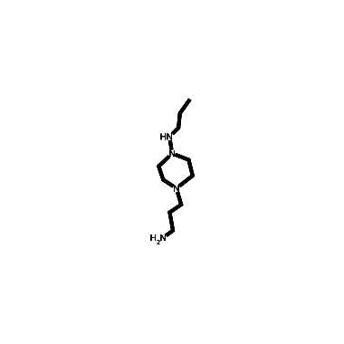 CCCNN1CCN(CCCN)CC1